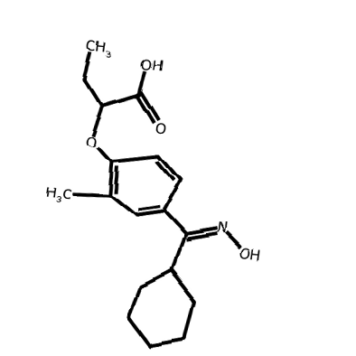 CCC(Oc1ccc(C(=NO)C2CCCCC2)cc1C)C(=O)O